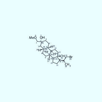 COC[C@@]1(O)CC[C@H]2[C@H](CC[C@@H]3[C@@H]2CC[C@]2(C)[C@@H](C(C)CBr)CC[C@@H]32)C1